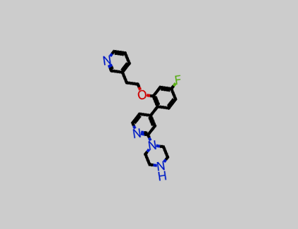 Fc1ccc(-c2ccnc(N3CCNCC3)c2)c(OCCc2cccnc2)c1